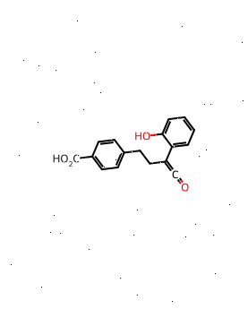 O=C=C(CCc1ccc(C(=O)O)cc1)c1ccccc1O